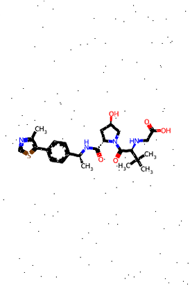 Cc1ncsc1-c1ccc([C@H](C)NC(=O)[C@@H]2C[C@@H](O)CN2C(=O)[C@@H](NCC(=O)O)C(C)(C)C)cc1